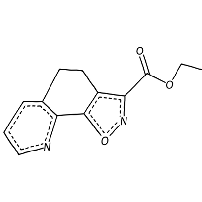 CCOC(=O)c1noc2c1CCc1cccnc1-2